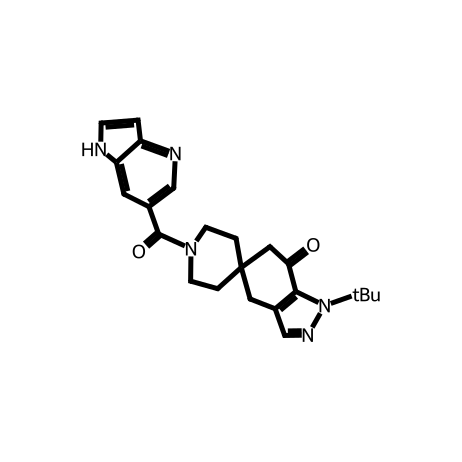 CC(C)(C)n1ncc2c1C(=O)CC1(CCN(C(=O)c3cnc4cc[nH]c4c3)CC1)C2